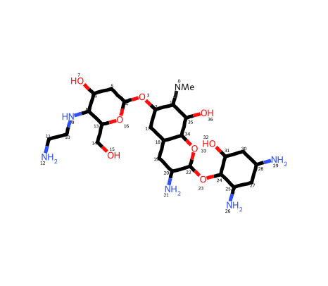 CNC1C(OC2CC(O)C(NCCN)C(CO)O2)CC2CC(N)C(OC3C(N)CC(N)CC3O)OC2C1O